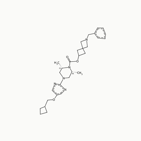 C[C@@H]1CN(c2ncc(OCC3CCC3)cn2)C[C@H](C)N1C(=O)OC1CC2(C1)CN(Cc1ccccc1)C2